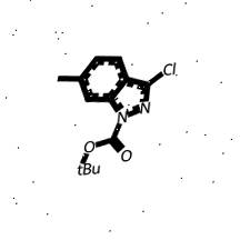 Cc1ccc2c(Cl)nn(C(=O)OC(C)(C)C)c2c1